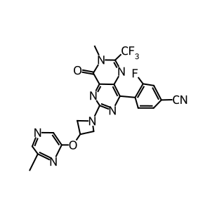 Cc1cncc(OC2CN(c3nc(-c4ccc(C#N)cc4F)c4nc(C(F)(F)F)n(C)c(=O)c4n3)C2)n1